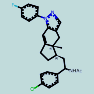 CC(=O)NC(C[C@H]1CCC2=Cc3c(cnn3-c3ccc(F)cc3)C[C@@]21C)c1ccc(Cl)cc1